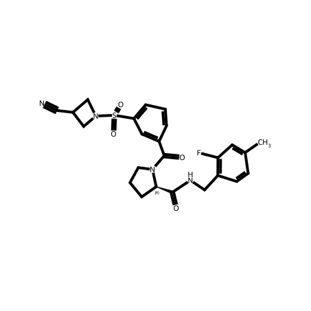 Cc1ccc(CNC(=O)[C@H]2CCCN2C(=O)c2cccc(S(=O)(=O)N3CC(C#N)C3)c2)c(F)c1